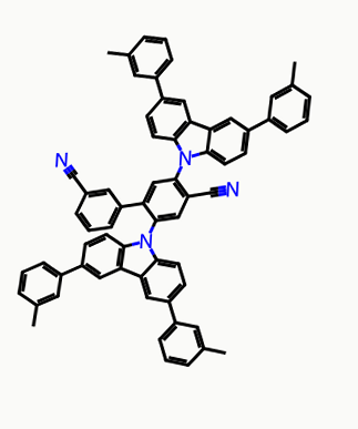 Cc1cccc(-c2ccc3c(c2)c2cc(-c4cccc(C)c4)ccc2n3-c2cc(-c3cccc(C#N)c3)c(-n3c4ccc(-c5cccc(C)c5)cc4c4cc(-c5cccc(C)c5)ccc43)cc2C#N)c1